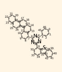 c1ccc(-c2nc(-c3cccc4c3ccc3ccc5c6ccccc6ccc5c34)nc(-c3cccc4c3sc3ccccc34)n2)cc1